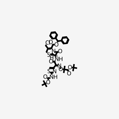 CC(C)(C)OC(=O)Nc1nc(C(=NOC(C)(C)C(=O)OC(C)(C)C)C(=O)N[C@@H]2C(=O)N3C(C(=O)OC(c4ccccc4)c4ccccc4)=C(CCl)CS[C@H]23)cs1